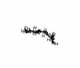 CC[C@@H]1CN(c2ccc(CCNC(=O)c3cnc4c(ccn4CCCCNC(=O)c4ccc(NCC#Cc5cc6c(NC7CCNCC7)cccc6n5CC(F)(F)F)cc4)c3)cc2)CCN1